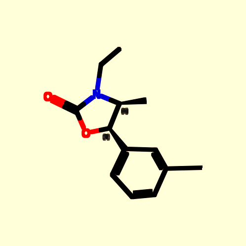 CCN1C(=O)O[C@H](c2cccc(C)c2)[C@@H]1C